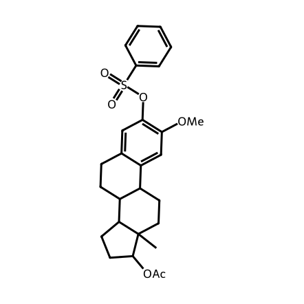 COc1cc2c(cc1OS(=O)(=O)c1ccccc1)CCC1C2CCC2(C)C(OC(C)=O)CCC12